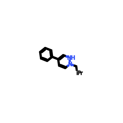 CC(C)CN1C=CC(c2ccccc2)=CN1